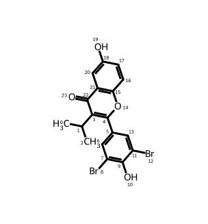 CC(C)c1c(-c2cc(Br)c(O)c(Br)c2)oc2ccc(O)cc2c1=O